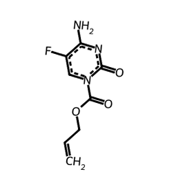 C=CCOC(=O)n1cc(F)c(N)nc1=O